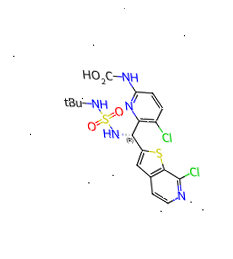 CC(C)(C)NS(=O)(=O)N[C@@H](c1cc2ccnc(Cl)c2s1)c1nc(NC(=O)O)ccc1Cl